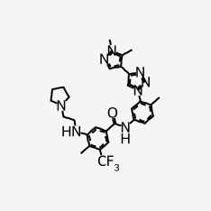 Cc1ccc(NC(=O)c2cc(NCCN3CCCC3)c(C)c(C(F)(F)F)c2)cc1-n1cc(-c2cnn(C)c2C)nn1